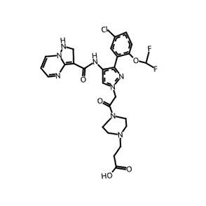 O=C(O)CCN1CCN(C(=O)Cn2cc(NC(=O)C3=C4N=CC=CN4NC3)c(-c3cc(Cl)ccc3OC(F)F)n2)CC1